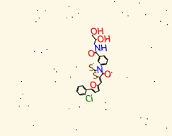 O=C(NCC(O)CO)c1cccc(N2C(=O)C(=Cc3ccc(-c4ccccc4Cl)o3)SC2=S)c1